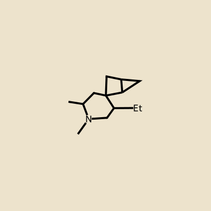 CCC1CN(C)C(C)CC12CC1CC12